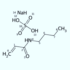 C=CC(=O)NCCCC.O=S(=O)(O)O.[NaH]